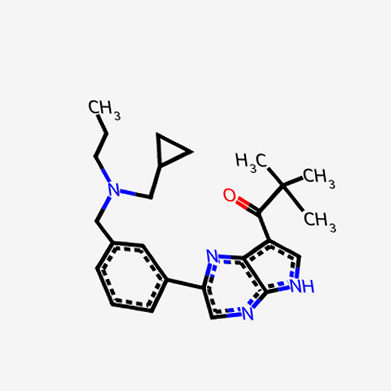 CCCN(Cc1cccc(-c2cnc3[nH]cc(C(=O)C(C)(C)C)c3n2)c1)CC1CC1